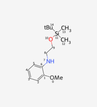 COc1ccccc1NCCO[Si](C)(C)C(C)(C)C